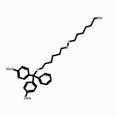 COc1ccc(C(OCCCCCCSSCCCCCCO)(c2ccccc2)c2ccc(OC)cc2)cc1